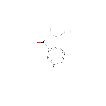 C[C@@H]1NC(=O)c2cc(C(F)(F)F)ccc21